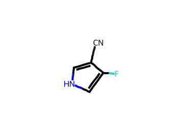 N#Cc1c[nH]cc1F